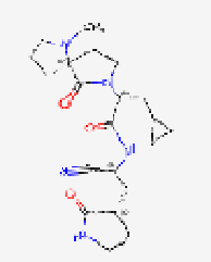 CN1CCC[C@@]12CCN([C@H](CC1CC1)C(=O)N[C@H](C#N)C[C@@H]1CCNC1=O)C2=O